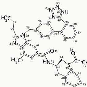 CCCc1nc2c(C)cc(C(=O)N[C@@H](CSC(C)=O)Cc3ccccc3)cc2n1Cc1ccc(-c2ccccc2-c2nnn[nH]2)cc1